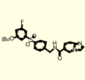 CC(C)COc1cc(F)cc(S(=O)(=O)c2ccc(CNC(=O)c3ccc4nccn4c3)cc2)c1